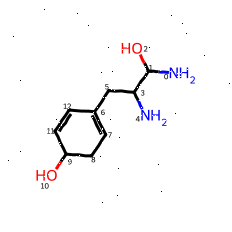 NC(O)C(N)CC1=CCC(O)C=C1